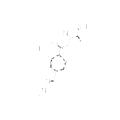 Cl.NN=Cc1ccc(C(=O)CC(N)C(=O)O)cc1